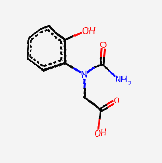 NC(=O)N(CC(=O)O)c1ccccc1O